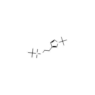 CC(C)(C)n1ccc(CCO[Si](C)(C)C(C)(C)C)c1